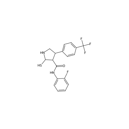 O=C(Nc1ccccc1F)C1C(S)NCC1c1ccc(C(F)(F)F)cc1